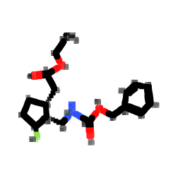 CCOC(=O)C[C@H]1CC[C@H](F)[C@H]1CNC(=O)OCc1ccccc1